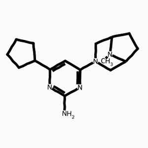 CN1C2CCC1CN(c1cc(C3CCCC3)nc(N)n1)C2